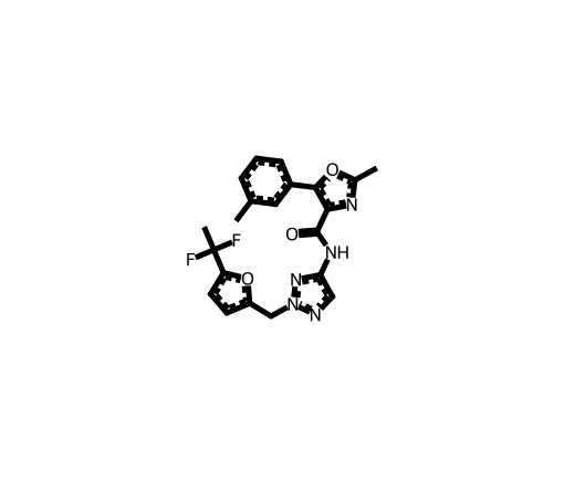 Cc1cccc(-c2oc(C)nc2C(=O)Nc2cnn(Cc3ccc(C(C)(F)F)o3)n2)c1